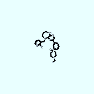 CCN1CCP(=O)(c2cccc(-c3cnc4c(n3)N(Cc3cccnc3Cl)CCCN4)c2)CC1